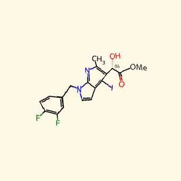 COC(=O)[C@@H](O)c1c(C)nc2c(ccn2Cc2ccc(F)c(F)c2)c1I